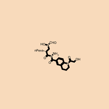 CCCCC[C@H](CN(O)C=O)C(=O)N(N)C(=O)c1ccc2c(c1)CCCN2C(=O)CO